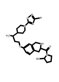 CC(C)c1noc(N2CCC(C(C)CCOc3ccc4c(c3)CNC(C(=O)N3CCCC3C#N)C4)CC2)n1